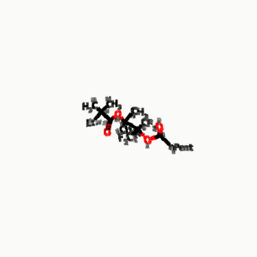 CCCCCC(=O)OC(C(F)(F)F)(C(F)(F)F)C(C)(C)OC(=O)C(C)(C)CC